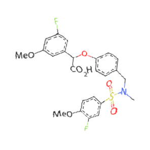 COc1cc(F)cc(C(Oc2ccc(CN(C)S(=O)(=O)c3ccc(OC)c(F)c3)cc2)C(=O)O)c1